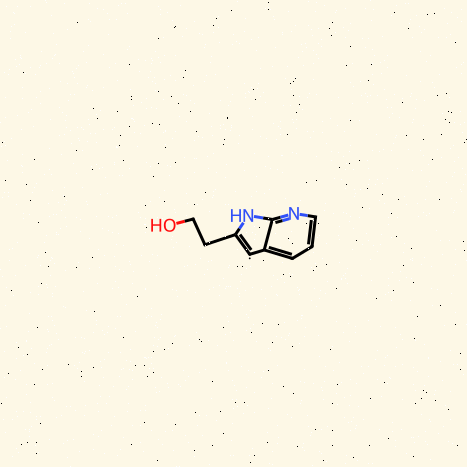 OCCc1[c]c2cccnc2[nH]1